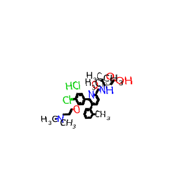 Cc1ccccc1-c1ccc(C(=O)N[C@@H](CC(=O)O)C(C)(C)C)nc1-c1ccc(Cl)c(OCCCN(C)C)c1.Cl